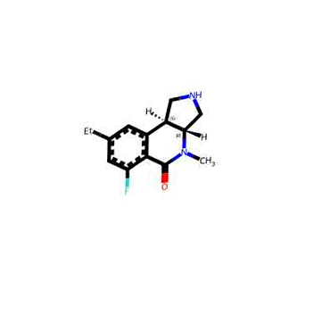 CCc1cc(F)c2c(c1)[C@H]1CNC[C@@H]1N(C)C2=O